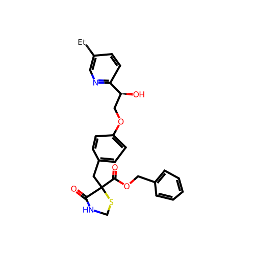 CCc1ccc([C@@H](O)COc2ccc(CC3(C(=O)OCc4ccccc4)SCNC3=O)cc2)nc1